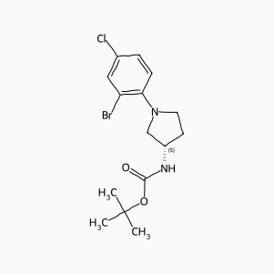 CC(C)(C)OC(=O)N[C@H]1CCN(c2ccc(Cl)cc2Br)C1